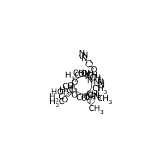 CC[C@H]1OC(=O)[C@H](C)[C@@H](O[C@H]2C[C@@](C)(OC)[C@@H](O)[C@H](C)O2)[C@H](C)[C@@H](O[C@@H]2C[C@H](C)C[C@H](N(C)CCc3cn(CCCOc4ccc(-n5ccnn5)cc4)nn3)[C@H]2O)[C@](C)(O)C[C@@H](C)CN(C)[C@H](C)[C@@H](O)[C@]1(C)O